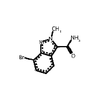 Cn1nc2c(Br)[c]ccc2c1C(N)=O